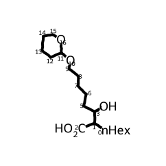 CCCCCCC(C(=O)O)C(O)CCCCCOC1CCCCO1